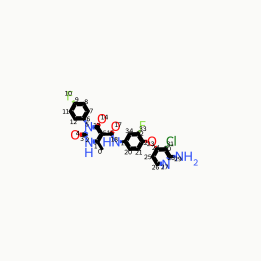 Cc1[nH]c(=O)n(-c2ccc(F)cc2)c(=O)c1C(=O)Nc1ccc(Oc2ccnc(N)c2Cl)c(F)c1